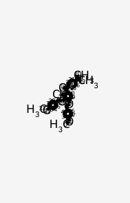 COc1ccc(COc2ccc(C(=O)N3CCC(N(C)C)CC3)c(Cl)c2OCc2ccc(OC)cc2)cc1